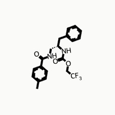 Cc1ccc(C(=O)NC[C@H](Cc2ccccc2)NC(=O)OCC(F)(F)F)cc1